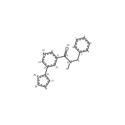 CN(Cc1ccccc1)C(=O)c1cncc(-c2cccs2)c1